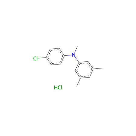 Cc1cc(C)cc(N(C)c2ccc(Cl)cc2)c1.Cl